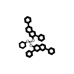 c1ccc(-c2ccc3cc(OP(Oc4cc5ccc(-c6ccccc6)cc5cc4-c4ccccc4)OC4CCCCC4)c(-c4ccccc4)cc3c2)cc1